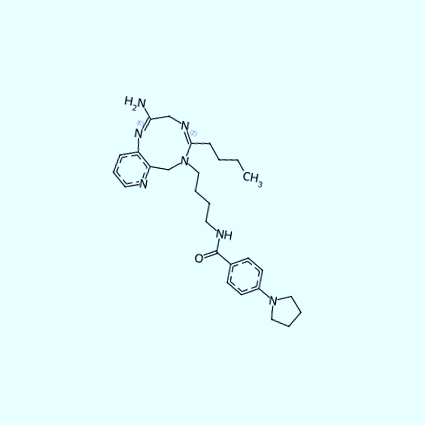 CCCC/C1=N/C/C(N)=N\c2cccnc2CN1CCCCNC(=O)c1ccc(N2CCCC2)cc1